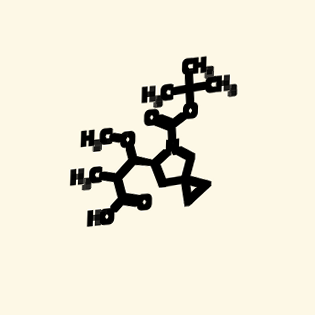 COC(C(C)C(=O)O)[C@@H]1CC2(CC2)CN1C(=O)OC(C)(C)C